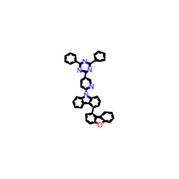 c1ccc(-c2nc(-c3ccccc3)nc(-c3ccc(-n4c5ccccc5c5c(-c6cccc7oc8ccccc8c67)cccc54)nc3)n2)cc1